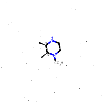 C[C@H]1NCCN(C(=O)O)[C@H]1C